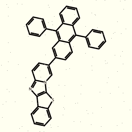 c1ccc(-c2c3ccccc3c(-c3ccccc3)c3cc(-c4ccc5nc6c7ccccc7sc6n5c4)ccc23)cc1